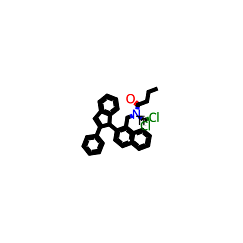 CCCC(=O)[N](Cc1c(C2C(c3ccccc3)=Cc3ccccc32)ccc2ccccc12)[Ti]([Cl])[Cl]